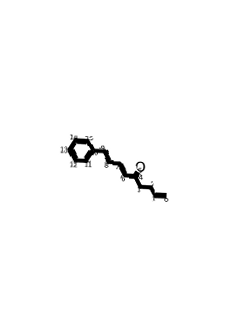 C=CCCC(=O)C=CC=Cc1ccccc1